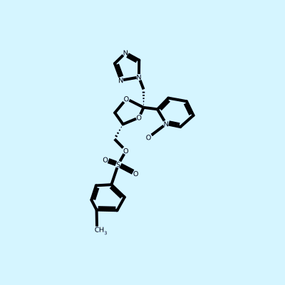 Cc1ccc(S(=O)(=O)OC[C@@H]2CO[C@@](Cn3cncn3)(c3cccc[n+]3[O-])O2)cc1